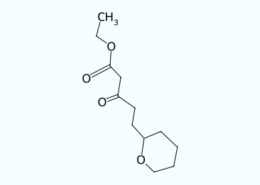 CCOC(=O)CC(=O)CCC1CCCCO1